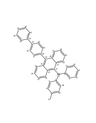 Cc1ccc(N(c2ccccc2)c2c3ccccc3c(-c3ccc(-c4ccccc4)cc3)c3ccccc23)cc1